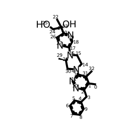 Cc1c(Cc2ccccc2)nnc(N2CCN(c3cnc(C(C)(O)CO)cn3)[C@H](C)C2)c1C